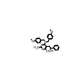 COc1ccc(CN(Cc2ccc(OC)cc2)c2nc(N)nc(Cl)c2CC(O)c2ccccc2)cc1